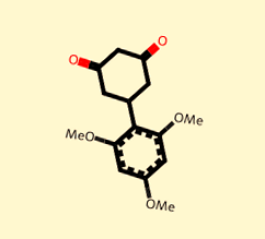 COc1cc(OC)c(C2CC(=O)CC(=O)C2)c(OC)c1